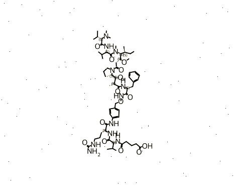 CC[C@H](C)[C@@H]([C@@H](CC(=O)N1CCC[C@H]1[C@H](OC)[C@@H](C)C(=O)N[C@@H](Cc1ccccc1)C(=O)NOCc1ccc(NC(=O)[C@@H](CCCNC(N)=O)NC(=O)[C@H](NC(=O)CCCC(=O)O)C(C)C)cc1)OC)N(C)C(=O)[C@@H](NC(=O)[C@H](C(C)C)N(C)C)C(C)C